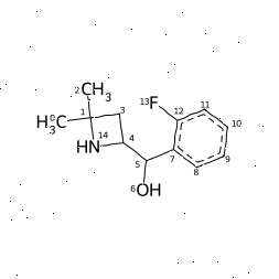 CC1(C)CC(C(O)c2ccccc2F)N1